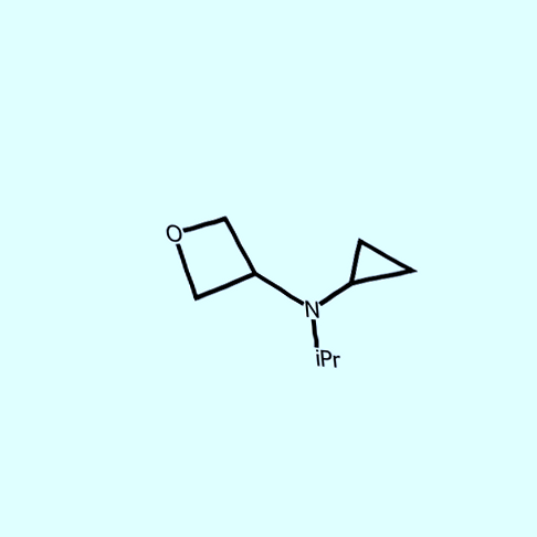 CC(C)N(C1CC1)C1COC1